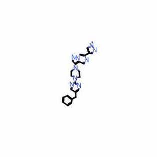 Cn1cc(-c2cn3ncc(N4CCN(c5ncc(Cc6ccccc6)cn5)CC4)c3cn2)cn1